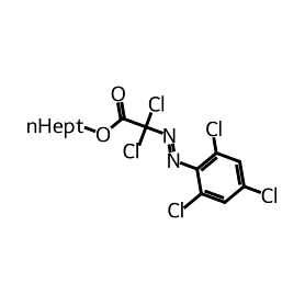 CCCCCCCOC(=O)C(Cl)(Cl)/N=N/c1c(Cl)cc(Cl)cc1Cl